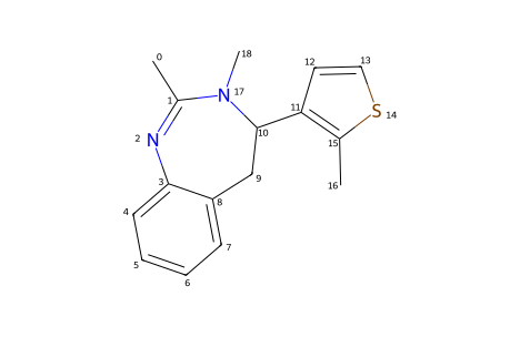 CC1=Nc2ccccc2CC(c2ccsc2C)N1C